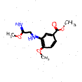 COC(=N)CNc1cc(C(=O)OC)ccc1OC